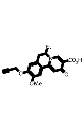 C#CCOc1cc2c(cc1OC)-c1cc(=O)c(C(=O)O)cn1C(CC)C2